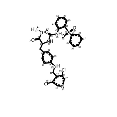 COC(=O)C(Cc1ccc(NCc2c(Cl)cncc2Cl)cc1)NC(=O)Nc1ccccc1S(=O)(=O)c1ccccc1